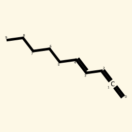 C=C=CC=CCCCCC